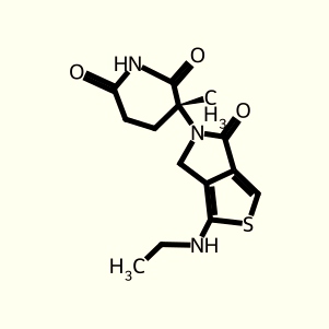 CCNc1scc2c1CN([C@]1(C)CCC(=O)NC1=O)C2=O